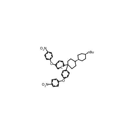 CCCC[C@H]1CC[C@@H](C2CCC(c3ccc(Oc4ccc([N+](=O)[O-])cc4)cc3)(c3ccc(Oc4ccc([N+](=O)[O-])cc4)cc3)CC2)CC1